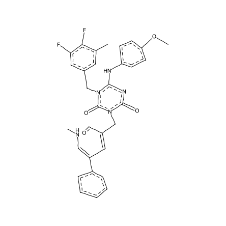 CN/C=C(\C=C(/C=O)Cn1c(=O)nc(Nc2ccc(OC)cc2)n(Cc2cc(C)c(F)c(F)c2)c1=O)c1ccccc1